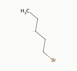 CC[CH]CCBr